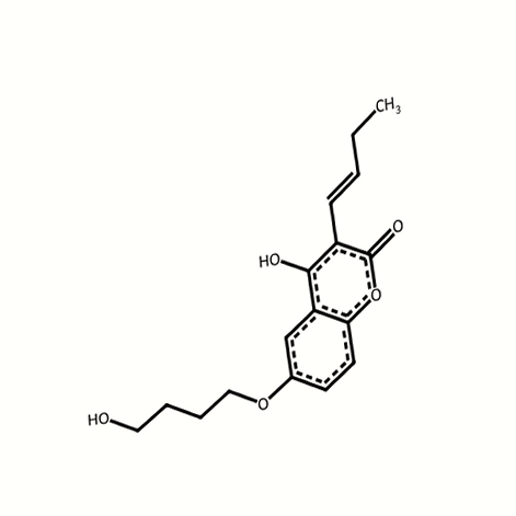 CCC=Cc1c(O)c2cc(OCCCCO)ccc2oc1=O